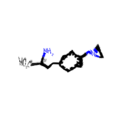 N[C@@H](Cc1ccc(N2CC2)cc1)C(=O)O